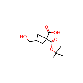 CC(C)(C)OC(=O)C1(C(=O)O)CC(CO)C1